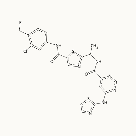 CC(NC(=O)c1cc(Nc2nccs2)ncn1)c1ncc(C(=O)Nc2ccc(CF)c(Cl)c2)s1